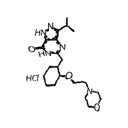 CC(C)c1n[nH]c2c(=O)[nH]c(CC3CCCCC3OCCN3CCOCC3)nc12.Cl